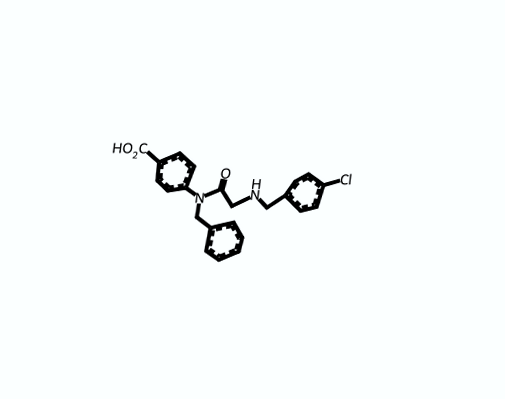 O=C(O)c1ccc(N(Cc2ccccc2)C(=O)CNCc2ccc(Cl)cc2)cc1